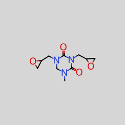 CN1CN(CC2CO2)C(=O)N(CC2CO2)C1=O